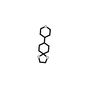 C1CC(C2CCC3(CC2)OCCO3)CCO1